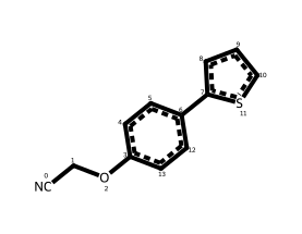 N#CCOc1ccc(-c2cccs2)cc1